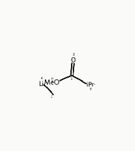 COC(=O)[C](C)C.[Li][CH3]